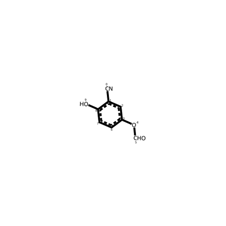 N#Cc1cc(OC=O)ccc1O